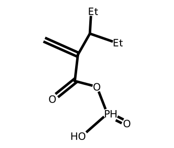 C=C(C(=O)O[PH](=O)O)C(CC)CC